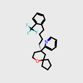 FC(F)(F)c1ccccc1C[CH]CC[C@@]1(c2ccccn2)CCOC2(CCCC2)C1